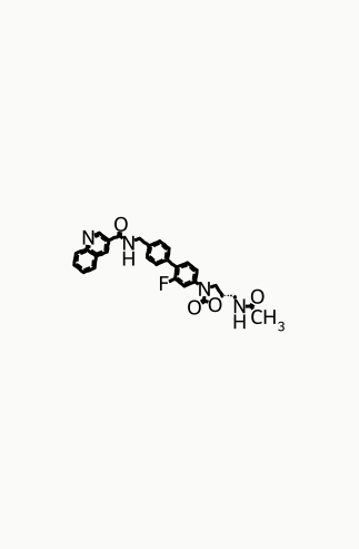 CC(=O)NC[C@H]1CN(c2ccc(-c3ccc(CNC(=O)c4cnc5ccccc5c4)cc3)c(F)c2)C(=O)O1